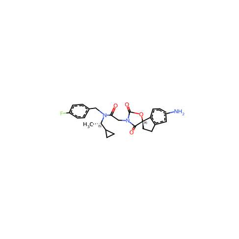 C[C@@H](C1CC1)N(Cc1ccc(F)cc1)C(=O)CN1C(=O)O[C@@]2(CCc3cc(N)ccc32)C1=O